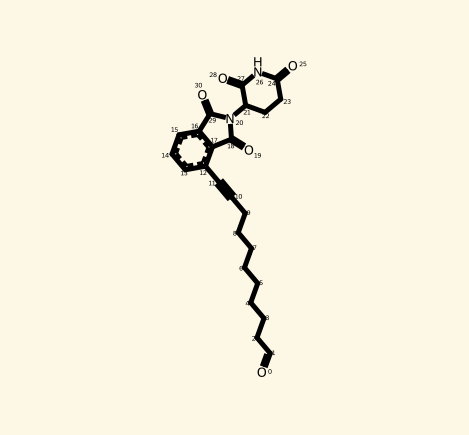 O=CCCCCCCCCC#Cc1cccc2c1C(=O)N(C1CCC(=O)NC1=O)C2=O